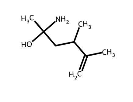 C=C(C)C(C)CC(C)(N)O